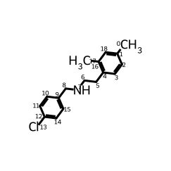 Cc1ccc(CCNCc2ccc(Cl)cc2)c(C)c1